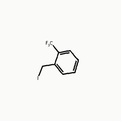 FC(F)(F)c1ccccc1CI